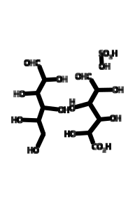 O=CC(O)C(O)C(O)C(O)C(=O)O.O=CC(O)C(O)C(O)C(O)CO.O=S(=O)(O)O